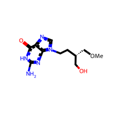 COC[C@H](CO)CCn1cnc2c(=O)[nH]c(N)nc21